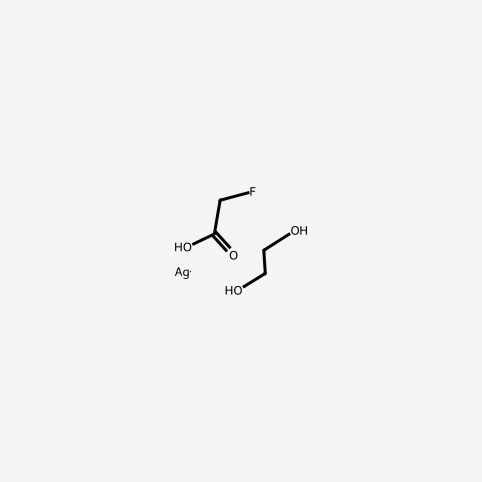 O=C(O)CF.OCCO.[Ag]